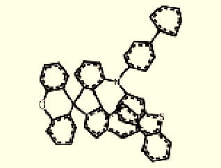 c1ccc(-c2ccc(N(c3ccc4c(c3)sc3ccccc34)c3cccc4c3-c3c(ccc5ccccc35)C43c4ccccc4Oc4ccccc43)cc2)cc1